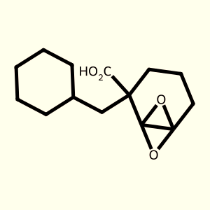 O=C(O)C1(CC2CCCCC2)CCCC23OC21O3